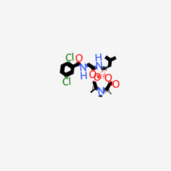 CC(C)C[C@H](NC(=O)CNC(=O)c1cc(Cl)ccc1Cl)B1OC[C@H](C)N(C)[C@@H](C)C(=O)O1